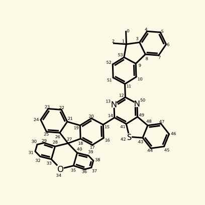 CC1(C)c2ccccc2-c2cc(-c3nc(-c4ccc5c(c4)-c4ccccc4C54C5=CCCC=C5Oc5ccccc54)c4sc5ccccc5c4n3)ccc21